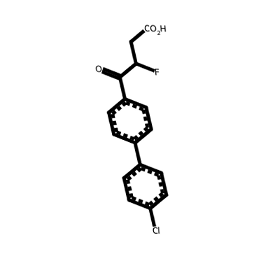 O=C(O)CC(F)C(=O)c1ccc(-c2ccc(Cl)cc2)cc1